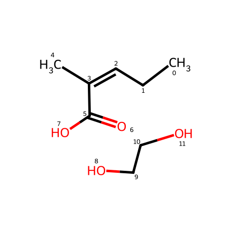 CCC=C(C)C(=O)O.OCCO